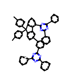 Cc1ccc(C2(c3ccc(C)cc3)c3ccc(-c4cccc(-c5nc(-c6ccccc6)nc(-c6ccccc6)n5)c4)cc3-c3c(-c4nc(-c5ccccc5)nc(-c5ccccc5)n4)cccc32)cc1